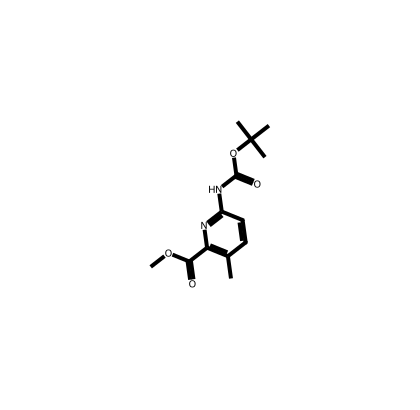 COC(=O)c1nc(NC(=O)OC(C)(C)C)ccc1C